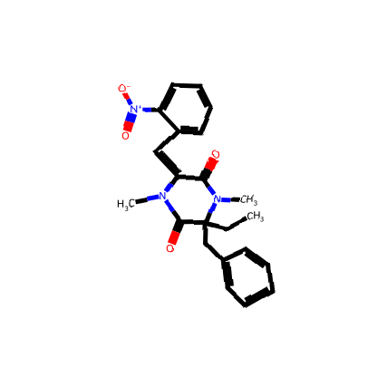 CCC1(Cc2ccccc2)C(=O)N(C)/C(=C/c2ccccc2[N+](=O)[O-])C(=O)N1C